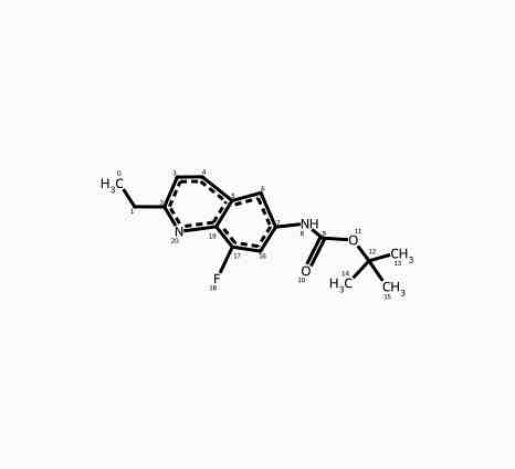 CCc1ccc2cc(NC(=O)OC(C)(C)C)cc(F)c2n1